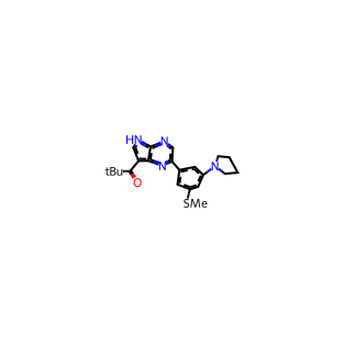 CSc1cc(-c2cnc3[nH]cc(C(=O)C(C)(C)C)c3n2)cc(N2CCCC2)c1